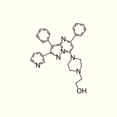 OCCN1CCN(c2cc(-c3ccccc3)nc3c(-c4ccccc4)c(-c4cccnc4)nn23)CC1